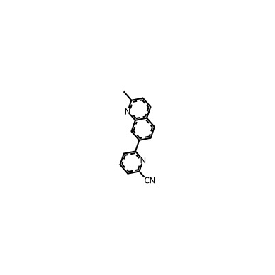 Cc1ccc2ccc(-c3cccc(C#N)n3)cc2n1